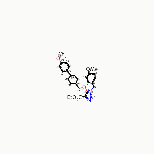 CCOC(=O)c1nnn(Cc2ccc(OC)cc2)c1OCC1CCC(c2ccc(OC(F)(F)F)cc2)CC1